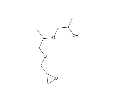 CC(O)COC(C)COCC1CO1